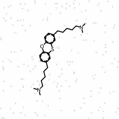 CN(C)CCCCCc1ccc2c(c1)Sc1cc(CCCCCN(C)C)ccc1O2